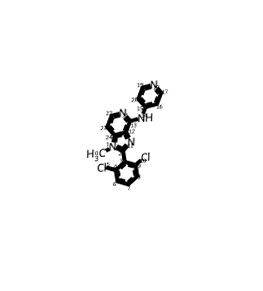 Cn1c(-c2c(Cl)cccc2Cl)nc2c(Nc3ccncc3)nccc21